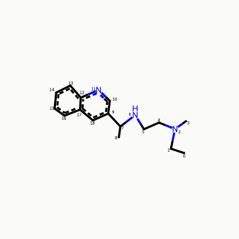 CCN(C)CCNC(C)c1cnc2ccccc2c1